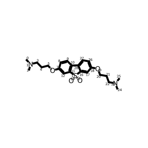 CN(C)CCCOc1ccc2c(c1)S(=O)(=O)c1cc(OCCCN(C)C)ccc1-2